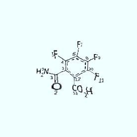 NC(=O)c1c(F)c(F)c(F)c(F)c1C(=O)O